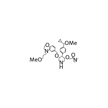 COCCCN1CCOc2ccc(CO[C@H]3CNC[C@@H](OCC(=O)N(C)C)[C@@H]3c3ccc(C(OC)C4CC4)cc3)cc21